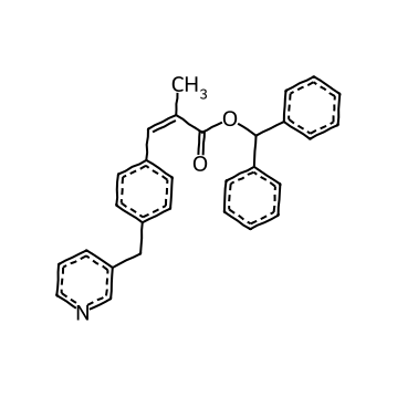 CC(=Cc1ccc(Cc2cccnc2)cc1)C(=O)OC(c1ccccc1)c1ccccc1